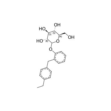 CCc1ccc(Cc2ccccc2OC2O[C@H](CO)[C@@H](O)[C@H](O)[C@H]2O)cc1